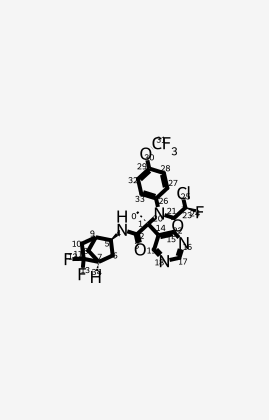 C[C@@](C(=O)N[C@H]1C[C@@H]2CC1CC2(F)F)(c1cncnc1)N(C(=O)[C@H](F)Cl)c1ccc(OC(F)(F)F)cc1